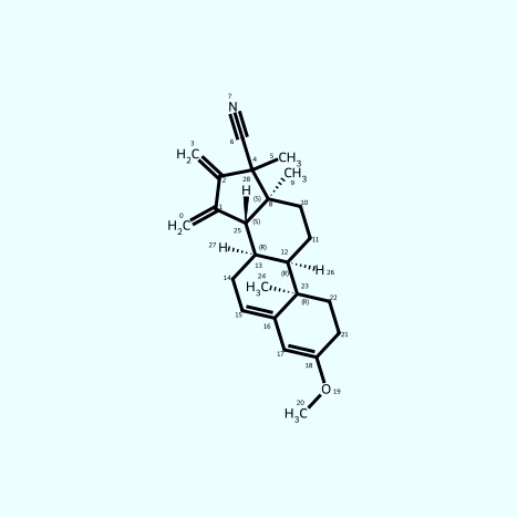 C=C1C(=C)C(C)(C#N)[C@@]2(C)CC[C@@H]3[C@@H](CC=C4C=C(OC)CC[C@@]43C)[C@H]12